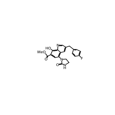 COC(=O)c1cc(N2CCNC2=O)c2cc(Cc3ccc(F)cc3)cnc2c1O